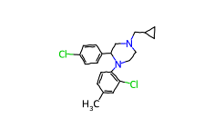 Cc1ccc(N2CCN(CC3CC3)CC2c2ccc(Cl)cc2)c(Cl)c1